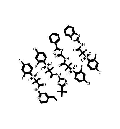 CC(C)(C(=O)Nc1nc2ccccc2s1)S(=O)(=O)c1ccc(Cl)cc1F.CC(C)(C(=O)Nc1nsc(-c2ccccc2)n1)S(=O)(=O)c1ccc(Cl)cc1F.CC(C)(C)c1nnc(NC(=O)C(C)(C)S(=O)(=O)c2ccc(Cl)cc2F)s1.CCc1ccnc(NC(=O)C(C)(C)S(=O)(=O)c2ccc(Cl)cc2F)c1